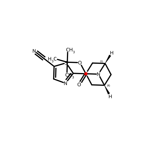 CC(C)(C)OC(=O)N1[C@@H]2C[C@H]1CN(c1ncc(C#N)s1)C2